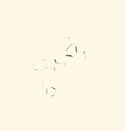 FC(F)(F)c1cc(NC(=S)N[C@@H]2CCCC[C@H]2N2Cc3ccccc3C2)cc(C(F)(F)F)c1